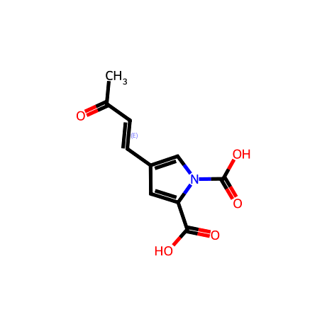 CC(=O)/C=C/c1cc(C(=O)O)n(C(=O)O)c1